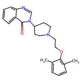 Cc1cccc(C)c1OCCN1CCC(n2cnc3ccccc3c2=O)CC1